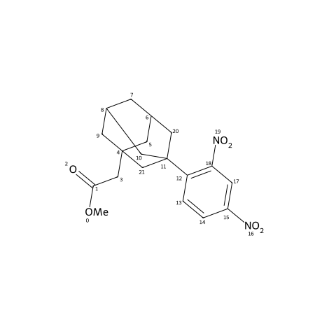 COC(=O)CC12CC3CC(C1)CC(c1ccc([N+](=O)[O-])cc1[N+](=O)[O-])(C3)C2